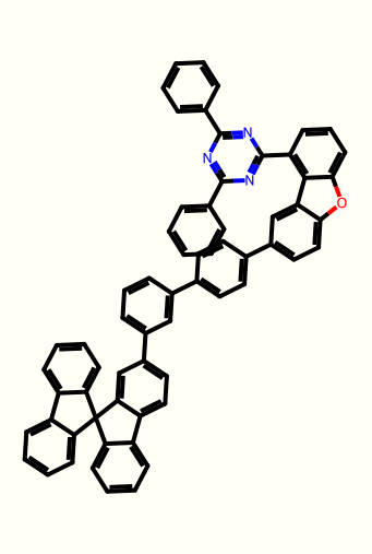 c1ccc(-c2nc(-c3ccccc3)nc(-c3cccc4oc5ccc(-c6ccc(-c7cccc(-c8ccc9c(c8)C8(c%10ccccc%10-c%10ccccc%108)c8ccccc8-9)c7)cc6)cc5c34)n2)cc1